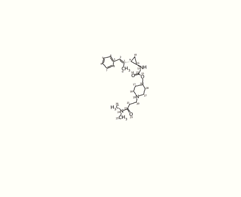 C/C(=C\c1ccccc1)[C@@H]1C[C@H]1NC(=O)OC1CCN(CCC(=O)N(C)C)CC1